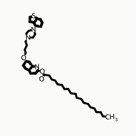 CCCCCCCCCCCCCCCCCCCC(=O)Oc1ccc2ccc(OCCCCN3CCN(c4cccc5sccc45)CC3)cc2n1